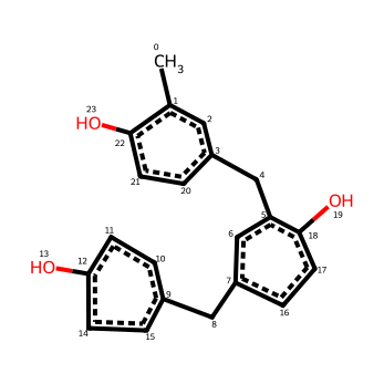 Cc1cc(Cc2cc(Cc3ccc(O)cc3)ccc2O)ccc1O